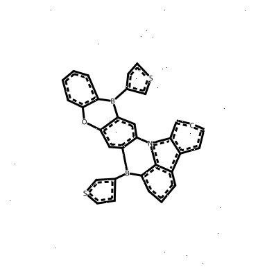 c1ccc2c(c1)Oc1cc3c(cc1B2c1ccsc1)-n1c2ccccc2c2cccc(c21)B3c1ccsc1